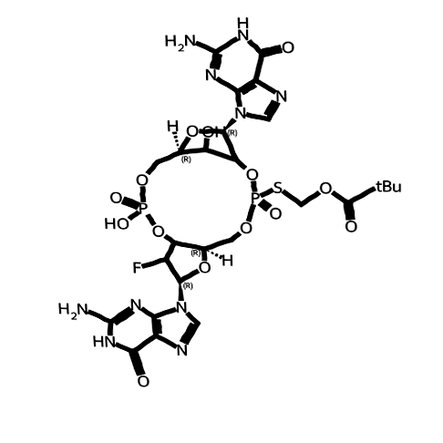 CC(C)(C)C(=O)OCSP1(=O)OC[C@H]2O[C@@H](n3cnc4c(=O)[nH]c(N)nc43)C(F)C2OP(=O)(O)OC[C@H]2O[C@@H](n3cnc4c(=O)[nH]c(N)nc43)C(O1)C2O